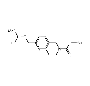 CSC(S)OCc1ccc2c(n1)CCN(C(=O)OC(C)(C)C)C2